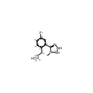 CN1NNN=C1c1cc(F)ccc1CN.Cl